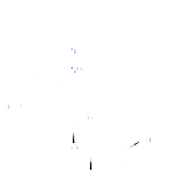 C[C@@]12CCC[C@H]1[C@@H]1CC=C3C=C(C(=O)O)C(C(=O)NN(c4ccccc4)c4ccccc4)C[C@]3(C)[C@H]1CC2